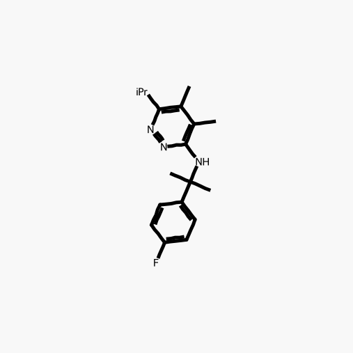 Cc1c(NC(C)(C)c2ccc(F)cc2)nnc(C(C)C)c1C